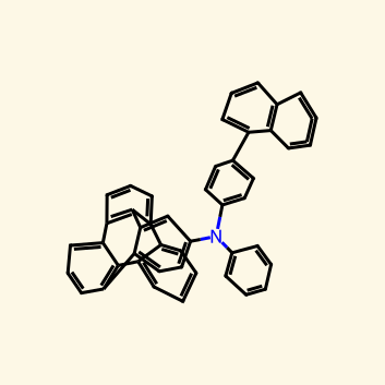 C1=C=Cc2c(cccc2-c2ccc(N(c3ccccc3)c3ccc4c(c3)-c3c5cccc3-c3cccc-4c3-c3ccccc3-5)cc2)C=1